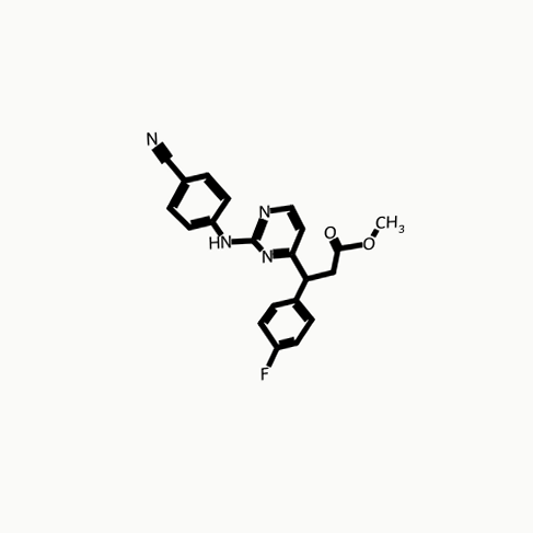 COC(=O)CC(c1ccc(F)cc1)c1ccnc(Nc2ccc(C#N)cc2)n1